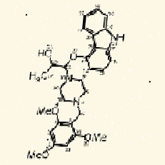 COc1cc(OC)c(CN2CCN(C(Oc3cccc4[nH]c5ccccc5c34)C(C)O)CC2)c(OC)c1